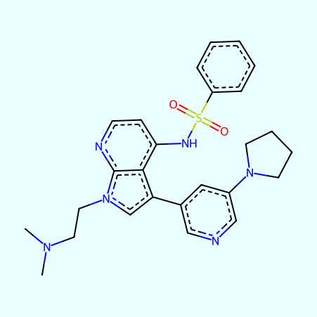 CN(C)CCn1cc(-c2cncc(N3CCCC3)c2)c2c(NS(=O)(=O)c3ccccc3)ccnc21